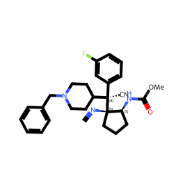 C=N[C@]1([C@](C#N)(c2cccc(F)c2)C2CCN(Cc3ccccc3)CC2)CCC[C@@H]1NC(=O)OC